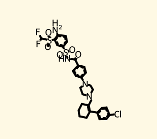 Nc1ccc(S(=O)(=O)NC(=O)c2ccc(N3CCN(CC4=C(c5ccc(Cl)cc5)CCCC4)CC3)cc2)cc1S(=O)(=O)C(F)F